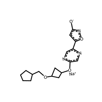 [Na+].[O-]c1cc(-c2cnc(OC3CC(OCC4CCCC4)C3)cn2)on1